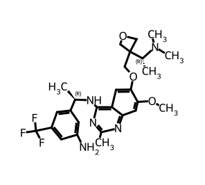 COc1cc2nc(C)nc(N[C@H](C)c3cc(N)cc(C(F)(F)F)c3)c2cc1OCC1([C@@H](C)N(C)C)COC1